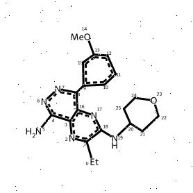 CCc1nc2c(N)nnc(-c3cccc(OC)c3)c2nc1NC1CCOCC1